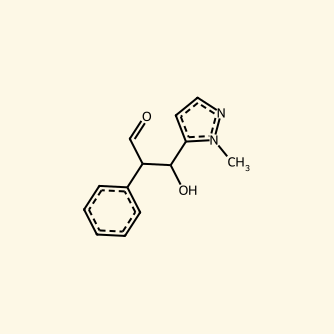 Cn1nccc1C(O)C(C=O)c1ccccc1